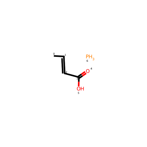 CC=CC(=O)O.P